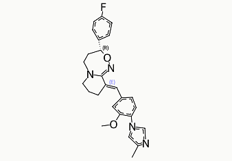 COc1cc(/C=C2\CCCN3CC[C@H](c4ccc(F)cc4)ON=C23)ccc1-n1cnc(C)c1